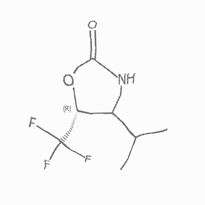 CC(C)C1NC(=O)O[C@H]1C(F)(F)F